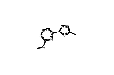 CNc1nccc(-c2ncc(C)s2)n1